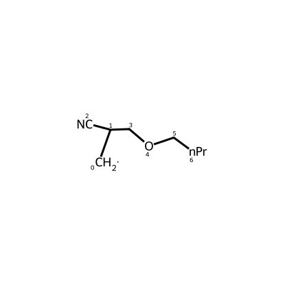 [CH2]C(C#N)COCCCC